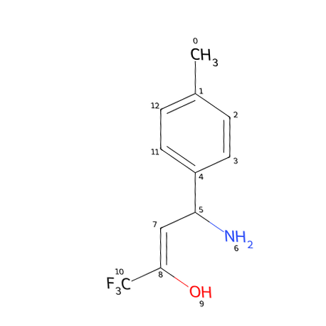 Cc1ccc(C(N)/C=C(\O)C(F)(F)F)cc1